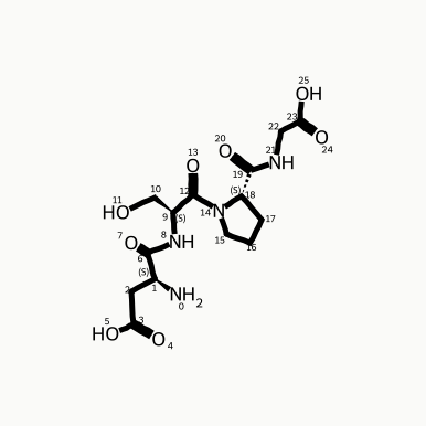 N[C@@H](CC(=O)O)C(=O)N[C@@H](CO)C(=O)N1CCC[C@H]1C(=O)NCC(=O)O